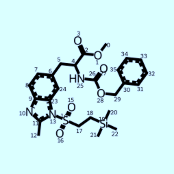 COC(=O)C(Cc1ccc2nc(C)n(S(=O)(=O)CC[Si](C)(C)C)c2c1)NC(=O)OCc1ccccc1